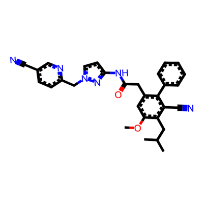 COc1cc(CC(=O)Nc2ccn(Cc3ccc(C#N)cn3)n2)c(-c2ccccc2)c(C#N)c1CC(C)C